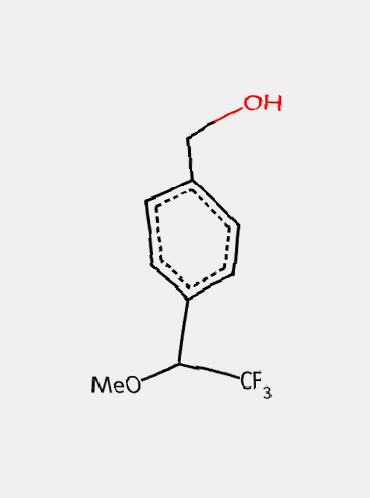 COC(c1ccc(CO)cc1)C(F)(F)F